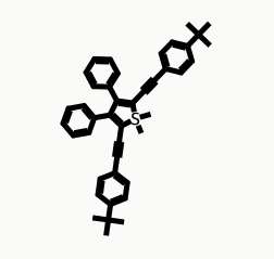 CC(C)(C)c1ccc(C#CC2=C(c3ccccc3)C(c3ccccc3)=C(C#Cc3ccc(C(C)(C)C)cc3)S2(C)C)cc1